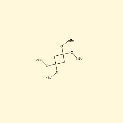 CCCCOC1(OCCCC)CC(OCCCC)(OCCCC)C1